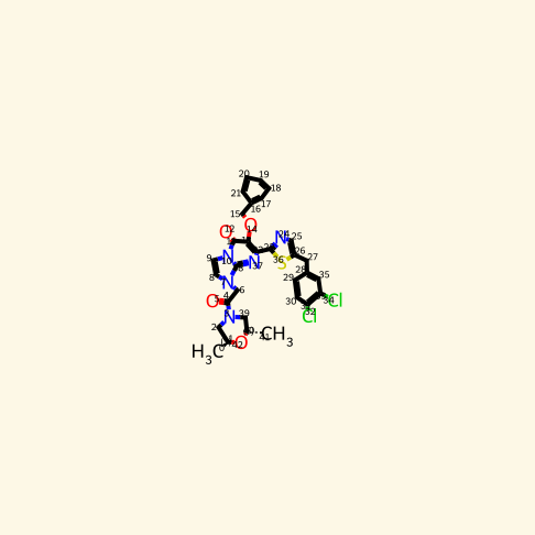 C[C@H]1CN(C(=O)Cn2ccn3c(=O)c(OCc4ccccc4)c(-c4ncc(Cc5ccc(Cl)c(Cl)c5)s4)nc23)C[C@H](C)O1